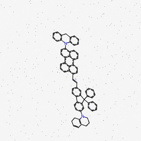 C1=CC2=C(CC1)N(c1ccc3c(c1)C(c1ccccc1)(c1ccccc1)c1cc(/C=C/c4ccc5c6cccc7c(N8c9ccccc9Cc9ccccc98)ccc(c8cccc4c58)c76)ccc1-3)CCC2